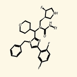 [CH2]CNC(=O)N(C[C@@H]1CNC[C@@H]1F)C(c1nc(-c2cc(F)ccc2F)cn1Cc1ccccc1)C1CCOCC1